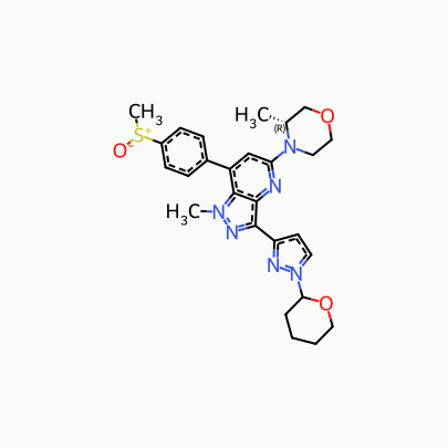 C[C@@H]1COCCN1c1cc(-c2ccc([S+](C)[O-])cc2)c2c(n1)c(-c1ccn(C3CCCCO3)n1)nn2C